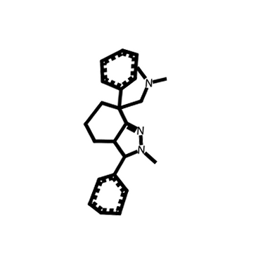 CN(C)CC1(c2ccccc2)CCCC2C1=NN(C)C2c1ccccc1